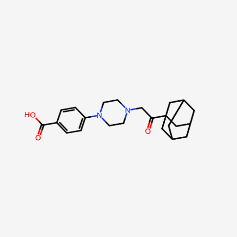 O=C(O)c1ccc(N2CCN(CC(=O)C34CC5CC(CC(C5)C3)C4)CC2)cc1